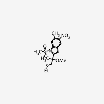 CCSCC(C)(OC)c1cc2cc([N+](=O)[O-])c(C)cc2n1S(C)(=O)=O